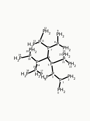 PP(P)P(P)P(C(P(P(P)P)P(P)P)P(P(P)P)P(P)P)P(P)P